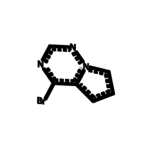 Brc1ncnn2cccc12